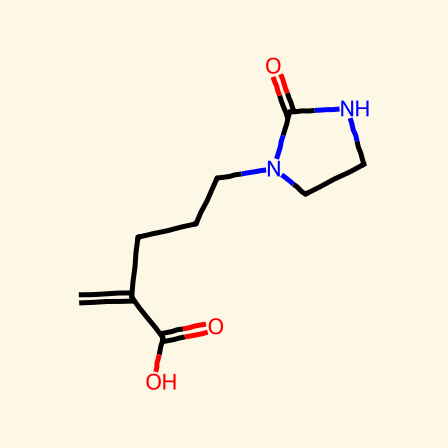 C=C(CCCN1CCNC1=O)C(=O)O